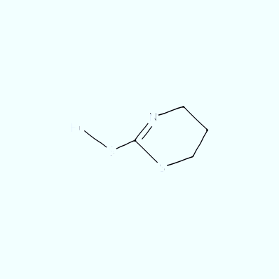 CCSC1=NCCCS1